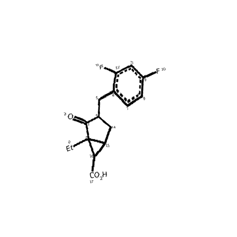 CCC12C(=O)C(Cc3ccc(F)cc3F)CC1C2C(=O)O